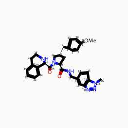 COc1ccc(C[C@@H]2C[C@@H](C(=O)NCc3ccc4c(c3)nnn4C)N(C(=O)[C@@H]3NCCc4ccccc43)C2)cc1